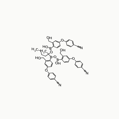 CCCCC(C)(OB(O)c1ccc(Oc2ccc(C#N)cc2)cc1CO)B(OB(O)c1ccc(Oc2ccc(C#N)cc2)cc1CO)c1ccc(Oc2ccc(C#N)cc2)cc1CO